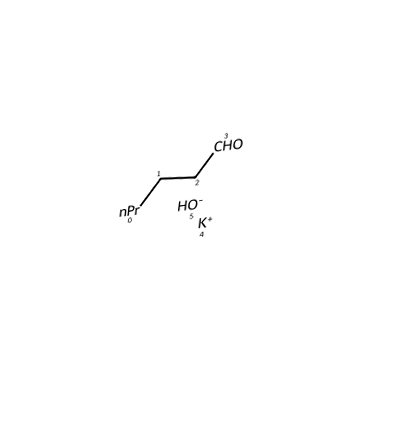 CCCCCC=O.[K+].[OH-]